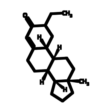 CCC1C[C@H]2C(=CC1=O)CC[C@@H]1[C@@H]2CC[C@]2(C)CCC[C@@H]12